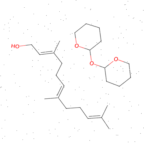 C1CCC(OC2CCCCO2)OC1.CC(C)=CCCC(C)=CCCC(C)=CCO